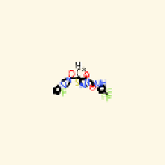 Cc1c(C(=O)N2CCN(c3ccccc3F)CC2)sc2ncn(CC(=O)Nc3ccc(C(F)(F)F)cc3)c(=O)c12